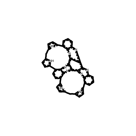 c1cc2c3nc4c(nc3c1)c1nc3cccc5c3nc1c1nc3c(ccc(c3nc41)-c1ccc([nH]1)Cc1ccc-2[nH]1)-c1ccc([nH]1)Cc1ccc-5[nH]1